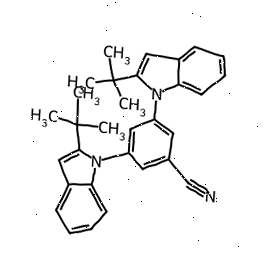 CC(C)(C)c1cc2ccccc2n1-c1cc(C#N)cc(-n2c(C(C)(C)C)cc3ccccc32)c1